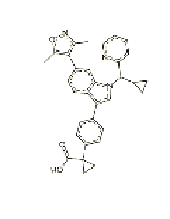 Cc1noc(C)c1-c1ccc2c(-c3ccc(C4(C(=O)O)CC4)cc3)cn(C(c3ccccn3)C3CC3)c2c1